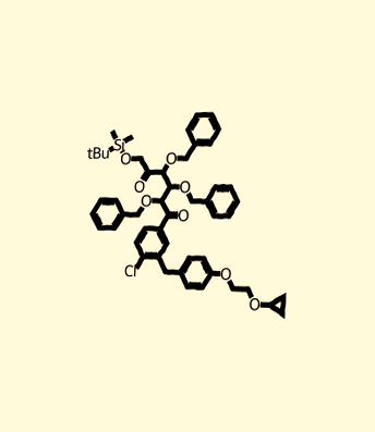 CC(C)(C)[Si](C)(C)OCC(=O)C(OCc1ccccc1)C(OCc1ccccc1)C(OCc1ccccc1)C(=O)c1ccc(Cl)c(Cc2ccc(OCCOC3CC3)cc2)c1